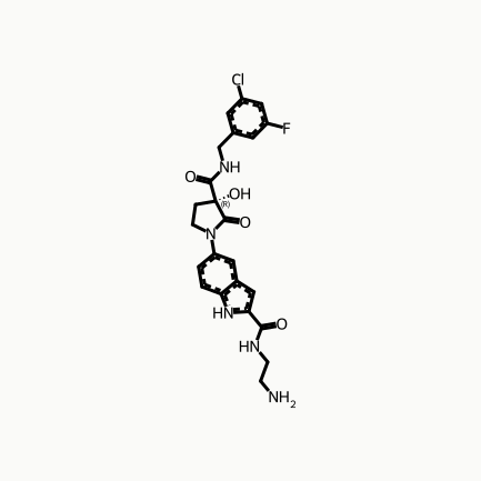 NCCNC(=O)c1cc2cc(N3CC[C@@](O)(C(=O)NCc4cc(F)cc(Cl)c4)C3=O)ccc2[nH]1